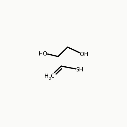 C=CS.OCCO